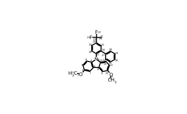 COc1ccc2c(c1)c1cc(OC)ccc1n2-c1ccc(C(F)(F)F)cc1-c1ccccc1